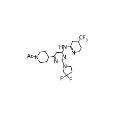 CC(=O)N1CCC(C2=NC(N3CCC(F)(F)C3)=NC(NC3=NCCC(C(F)(F)F)C3)C2)CC1